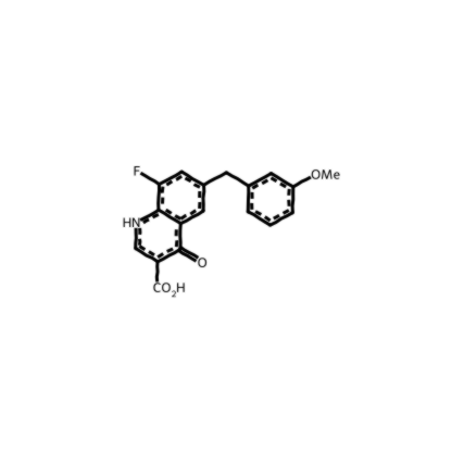 COc1cccc(Cc2cc(F)c3[nH]cc(C(=O)O)c(=O)c3c2)c1